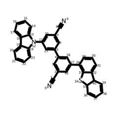 N#Cc1cc(-c2cc(C#N)cc(-n3c4ccccc4c4ccccc43)c2)cc(-c2cccc3c2SC2C=CC=CC32)c1